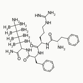 BC(B)(N)C(B)(B)C(B)(B)C(B)(B)C(NC(=O)[C@H](Cc1ccccc1)NC(=O)[C@@H](CCCNC(=N)N)NC(=O)[C@@H](N)Cc1ccccc1)C(N)=O